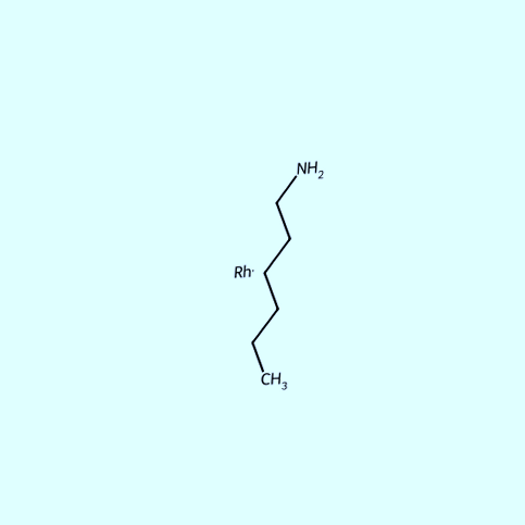 CCCCCCN.[Rh]